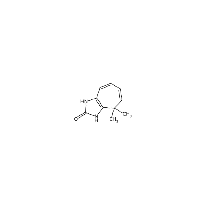 CC1(C)C=CC=Cc2[nH]c(=O)[nH]c21